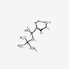 CC(C)(C)OC(O)N1CCOCC1